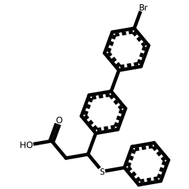 O=C(O)CC(Sc1ccccc1)c1ccc(-c2ccc(Br)cc2)cc1